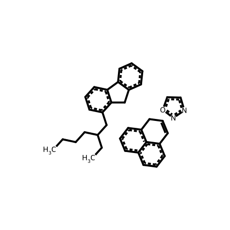 C1=Cc2cccc3cccc(c23)C1.CCCCC(CC)Cc1cccc2c1Cc1ccccc1-2.c1conn1